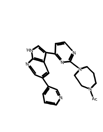 CC(=O)N1CCCN(c2nccc(-c3c[nH]c4ncc(-c5cccnc5)cc34)n2)CC1